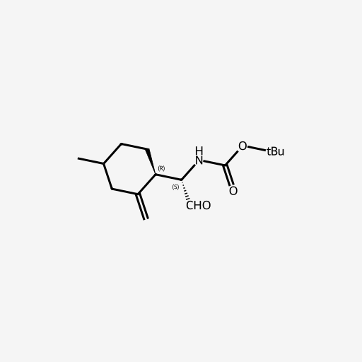 C=C1CC(C)CC[C@H]1[C@@H](C=O)NC(=O)OC(C)(C)C